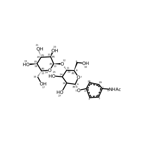 CC(=O)Nc1ccc(O[C@H]2O[C@H](CO)[C@@H](O[C@H]3O[C@H](CO)[C@@H](O)[C@H](O)[C@H]3O)C(O)C2O)cc1